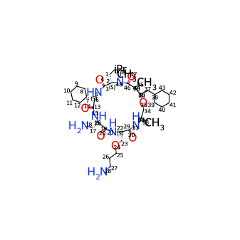 CC(C)C[C@H]1C(=O)N[C@@H](C2CCCCC2)C(=O)N[C@@H](CN)C(=O)N[C@@H](COCCCN)C(=O)N[C@H](C)CO[C@H](CC2CCCCC2)[C@@H](C)C(=O)N1C